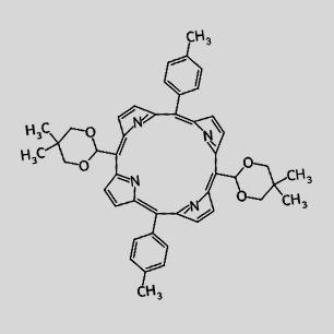 Cc1ccc(C2=C3C=CC(=N3)C(C3OCC(C)(C)CO3)=C3C=CC(=N3)C(c3ccc(C)cc3)=C3C=CC(=N3)C(C3OCC(C)(C)CO3)=C3C=CC2=N3)cc1